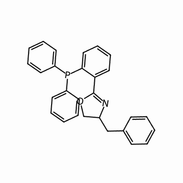 c1ccc(CC2COC(c3ccccc3P(c3ccccc3)c3ccccc3)=N2)cc1